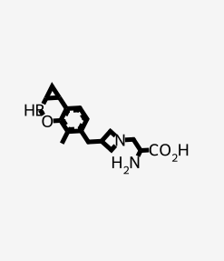 Cc1c(CC2CN(CC(N)C(=O)O)C2)ccc2c1OBC1CC21